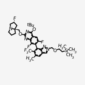 Cc1cc2cn(COCC[Si](C)(C)C)nc2c(-c2c(F)cc3c(OC(C)(C)C)nc(OC[C@@]45CCCN4C[C@H](F)C5)nc3c2F)c1C(F)(F)F